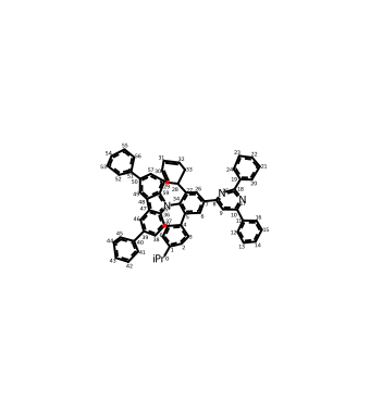 CC(C)c1ccc(-c2cc(-c3cc(-c4ccccc4)nc(-c4ccccc4)n3)cc(C3C=CC=CC3)c2-n2c3ccc(-c4ccccc4)cc3c3cc(-c4ccccc4)ccc32)cc1